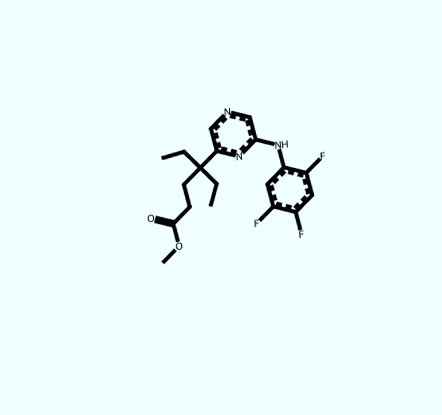 CCC(CC)(CCC(=O)OC)c1cncc(Nc2cc(F)c(F)cc2F)n1